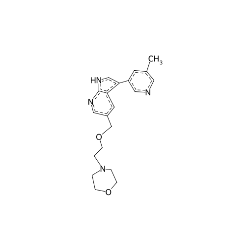 Cc1cncc(-c2c[nH]c3ncc(COCCN4CCOCC4)cc23)c1